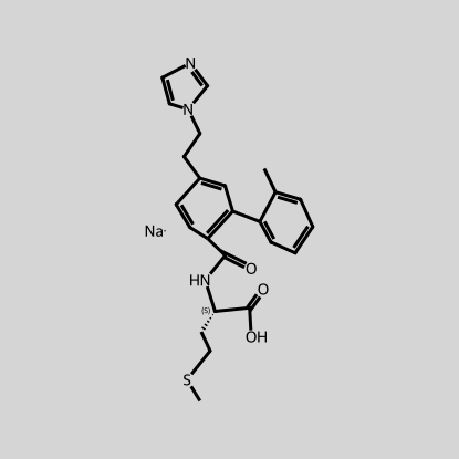 CSCC[C@H](NC(=O)c1ccc(CCn2ccnc2)cc1-c1ccccc1C)C(=O)O.[Na]